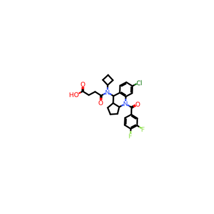 O=C(O)CCC(=O)N(C1CCC1)C1c2ccc(Cl)cc2N(C(=O)c2ccc(F)c(F)c2)C2CCCC21